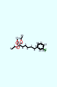 CCO[Si](CCCCCc1cccc(F)c1)(OC)OCC